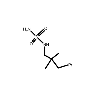 CC(C)CC(C)(C)CNS(N)(=O)=O